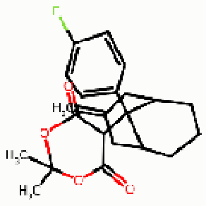 C=C1CC2CCCC(C1)C2(c1ccc(F)cc1)C1C(=O)OC(C)(C)OC1=O